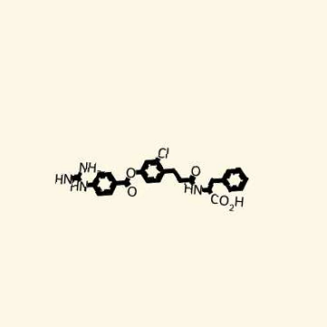 N=C(N)Nc1ccc(C(=O)Oc2ccc(CCC(=O)NC(Cc3ccccc3)C(=O)O)c(Cl)c2)cc1